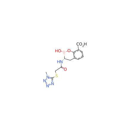 Cn1nnnc1SCC(=O)N[C@H]1Cc2cccc(C(=O)O)c2OB1O